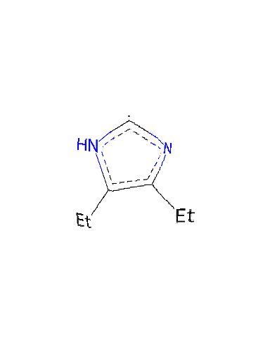 CCc1n[c][nH]c1CC